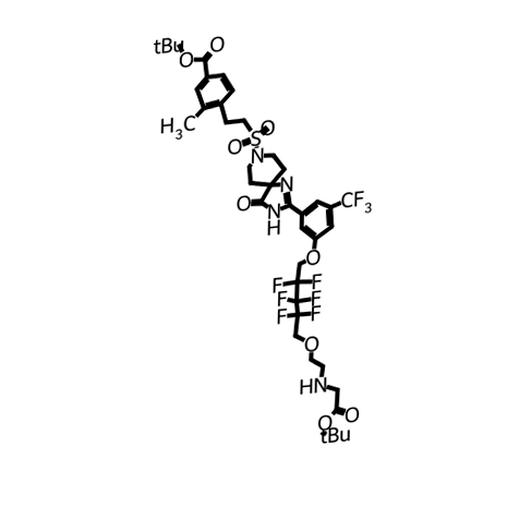 Cc1cc(C(=O)OC(C)(C)C)ccc1CCS(=O)(=O)N1CCC2(CC1)N=C(c1cc(OCC(F)(F)C(F)(F)C(F)(F)COCCNCC(=O)OC(C)(C)C)cc(C(F)(F)F)c1)NC2=O